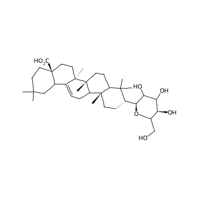 CC1(C)CC[C@]2(C(=O)O)CC[C@]3(C)C(=CCC4[C@@]5(C)CC[C@@H]([C@@H]6OC(CO)[C@H](O)C(O)C6O)C(C)(C)C5CC[C@]43C)C2C1